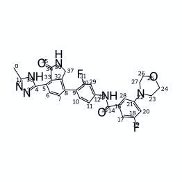 Cc1nnc(-c2ccc(-c3ccc(NC(=O)c4cc(F)cc(N5CCOCC5)c4)cc3F)c3c2C(=O)NC3)[nH]1